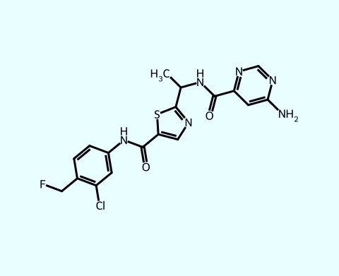 CC(NC(=O)c1cc(N)ncn1)c1ncc(C(=O)Nc2ccc(CF)c(Cl)c2)s1